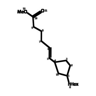 CCCCCCC1CCC(/C=C/CCCC(=O)OC)C1